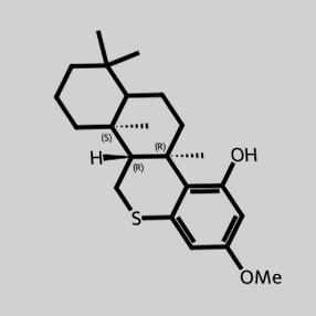 COc1cc(O)c2c(c1)SC[C@H]1[C@@]2(C)CCC2C(C)(C)CCC[C@@]21C